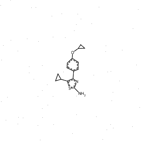 Nc1nc(-c2ccc(OC3CC3)cc2)c(C2CC2)s1